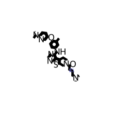 Cc1cc(Nc2ncnc3sc4c(c23)CCN(C(=O)/C=C/CN(C)C)C4)ccc1Oc1ccc(N(C)C)nc1